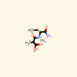 CC[C@H](C(N)=O)N(C)C(=O)C(C)C(=O)O